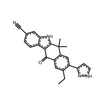 CCc1cc2c(cc1-c1cc[nH]n1)C(C)(C)c1[nH]c3cc(C#N)ccc3c1C2=O